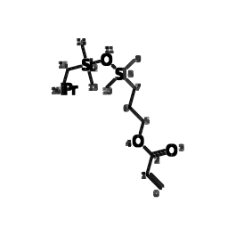 C=CC(=O)OCCC[Si](C)(C)O[Si](C)(C)CC(C)C